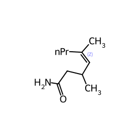 CCC/C(C)=C\C(C)CC(N)=O